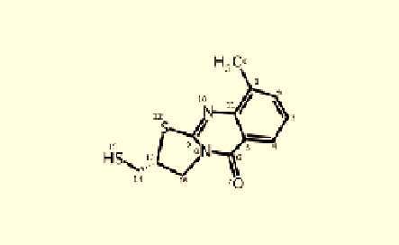 Cc1cccc2c(=O)n3c(nc12)S[C@@H](CS)C3